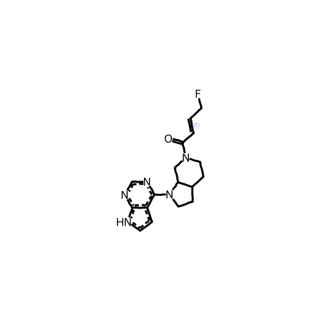 O=C(/C=C/CF)N1CCC2CCN(c3ncnc4[nH]ccc34)C2C1